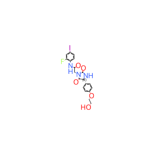 O=C(CN1C(=O)N[C@H](c2ccc(OCCO)cc2)C1=O)Nc1ccc(I)cc1F